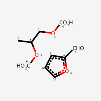 CC(COC(=O)O)OC(=O)O.O=Cc1ccco1